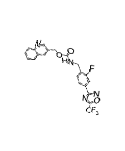 O=C(NCc1ccc(-c2noc(C(F)(F)F)n2)cc1F)OCc1cnc2ccccc2c1